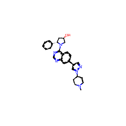 CN1CCC(n2cc(-c3ccc4c(N5C[C@H](O)C[C@H]5c5ccccc5)ncnc4c3)cn2)CC1